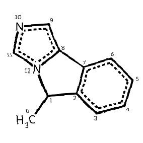 CC1c2ccccc2-c2cncn21